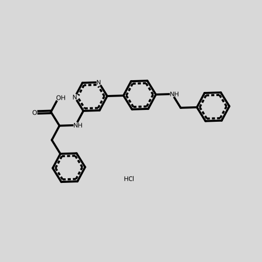 Cl.O=C(O)C(Cc1ccccc1)Nc1cc(-c2ccc(NCc3ccccc3)cc2)ncn1